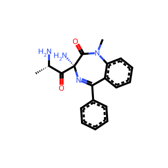 C[C@H](N)C(=O)[C@]1(N)N=C(c2ccccc2)c2ccccc2N(C)C1=O